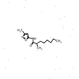 CCCCCCC(C)C(=O)Nc1cc(C)no1